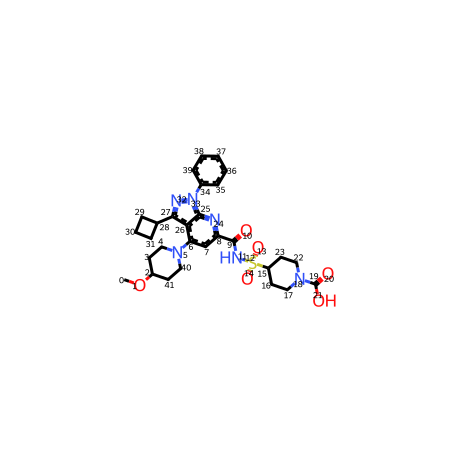 COC1CCN(c2cc(C(=O)NS(=O)(=O)C3CCN(C(=O)O)CC3)nc3c2c(C2CCC2)nn3-c2ccccc2)CC1